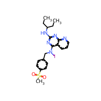 CCC(CC)Nc1nc(N(I)Cc2ccc(S(C)(=O)=O)cc2)c2cccnc2n1